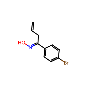 C=CCC(=NO)c1ccc(Br)cc1